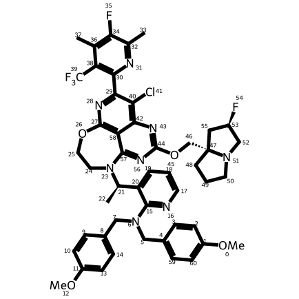 COc1ccc(CN(Cc2ccc(OC)cc2)c2ncccc2[C@@H](C)N2CCOc3nc(-c4nc(C)c(F)c(C)c4C(F)(F)F)c(Cl)c4nc(OC[C@@]56CCCN5C[C@H](F)C6)nc2c34)cc1